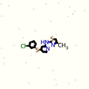 Cc1csc(Nc2cc(Sc3cccc(Cl)c3)ccn2)n1